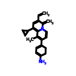 C=CC1=CC(C2CC2)=C2C(C)=C(C3=CC=C(N)CC3)C=CN2C1=C